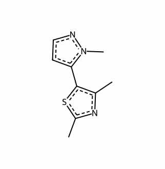 Cc1nc(C)c(-c2ccnn2C)s1